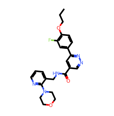 CCCOc1ccc(-c2cc(C(=O)NCc3cccnc3N3CCOCC3)cnn2)cc1F